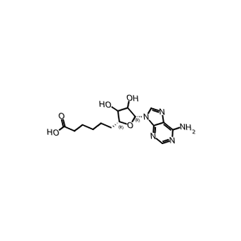 Nc1ncnc2c1ncn2[C@@H]1O[C@H](CCCCCC(=O)O)C(O)C1O